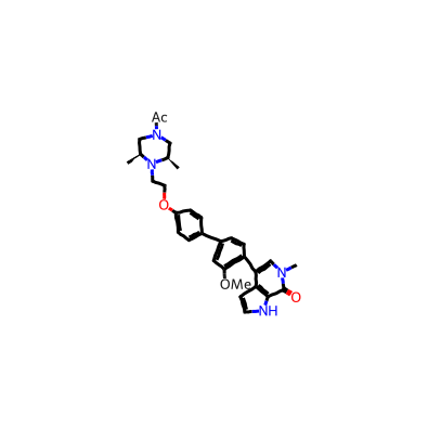 COc1cc(-c2ccc(OCCN3[C@H](C)CN(C(C)=O)C[C@@H]3C)cc2)ccc1-c1cn(C)c(=O)c2[nH]ccc12